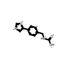 O=C(O)NCc1ccc(-c2cnco2)cc1